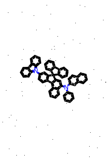 c1ccc(N(c2ccc3ccccc3c2)c2cc3c(c4ccccc24)-c2ccc(-n4c5ccccc5c5ccccc54)cc2C32c3ccccc3-c3ccccc32)cc1